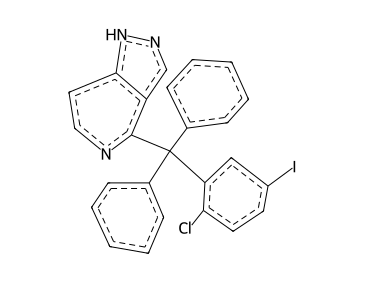 Clc1ccc(I)cc1C(c1ccccc1)(c1ccccc1)c1nccc2[nH]ncc12